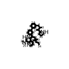 C=C(C(C)Cc1cccc(-c2ccc3[nH]c(-c4cccnc4C(C)N(C)C)c(CC(C)(C)CCC)c3c2)c1)C1CCCN1